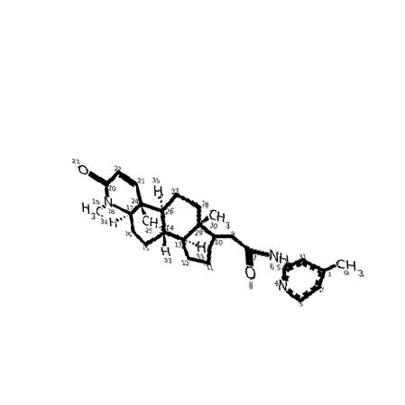 Cc1ccnc(NC(=O)CC2CC[C@H]3[C@@H]4CC[C@H]5N(C)C(=O)C=C[C@]5(C)[C@H]4CC[C@]23C)c1